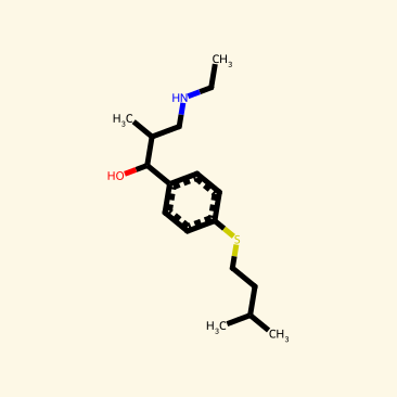 CCNCC(C)C(O)c1ccc(SCCC(C)C)cc1